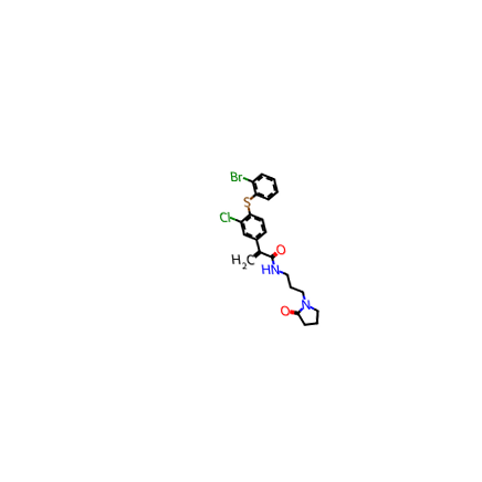 C=C(C(=O)NCCCN1CCCC1=O)c1ccc(Sc2ccccc2Br)c(Cl)c1